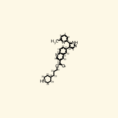 Cc1cccc(-c2[nH]ncc2-c2ccc3ncc(C(=O)OCCCC4CCNCC4)cc3c2)n1